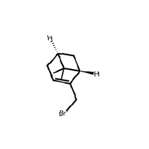 CC1(C)[C@H]2CC=C(CBr)[C@H]1C2